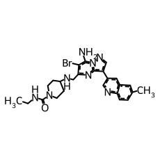 CCNC(=O)N1CCC(NCc2nc3c(-c4cnc5ccc(C)cc5c4)cnn3c(N)c2Br)CC1